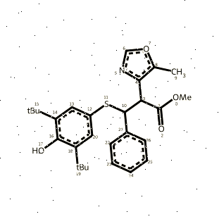 COC(=O)C(c1ncoc1C)C(Sc1cc(C(C)(C)C)c(O)c(C(C)(C)C)c1)c1ccccc1